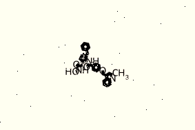 Cc1cc(COc2ccc(C(=O)NC3[C@H](CC(=O)NO)CCN3Cc3ccccc3)cc2)c2ccccc2n1